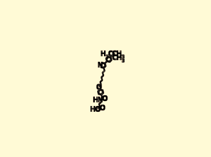 CC(C)(C)c1ccc(-c2cncc(CCCCCCCOc3ccc(C(=O)NCCC(=O)O)cc3)c2)cc1